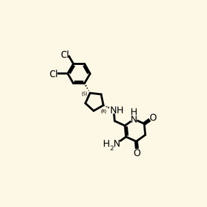 NC1=C(CN[C@@H]2CC[C@H](c3ccc(Cl)c(Cl)c3)C2)NC(=O)CC1=O